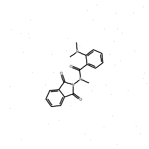 CN(C)c1ccccc1C(=O)N(C)N1C(=O)c2ccccc2C1=O